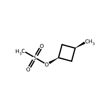 CS(=O)(=O)O[C@H]1C[C@@H](C)C1